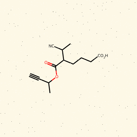 C#CC(C)OC(=O)C(CCCC(=O)O)C(C)C#N